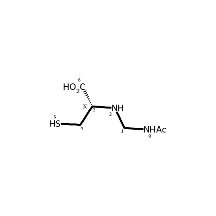 CC(=O)NCN[C@H](CS)C(=O)O